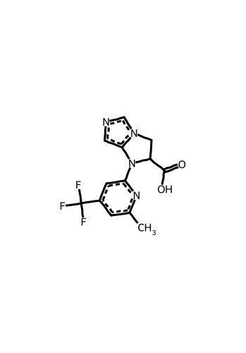 Cc1cc(C(F)(F)F)cc(N2c3cncn3CC2C(=O)O)n1